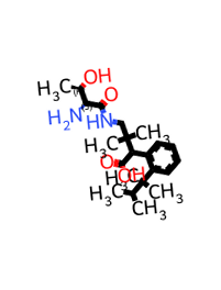 CC(C)C(C)(C)c1ccccc1C(C(=O)O)C(C)(C)CNC(=O)[C@@H](N)[C@@H](C)O